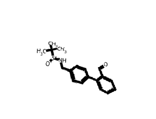 CC(C)(C)[S+]([O-])NCc1ccc(-c2ccccc2C=O)cc1